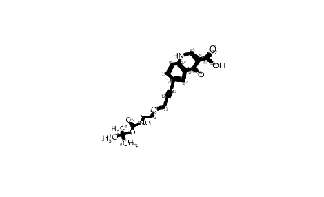 CC(C)(C)OC(=O)NCCOCC#Cc1ccc2[nH]cc(C(=O)O)c(=O)c2c1